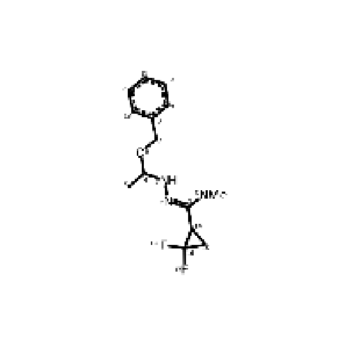 CN/C(=N\NC(C)OCc1ccccc1)C1CC1(F)F